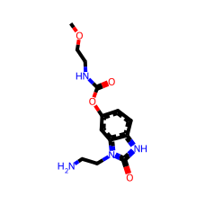 COCCNC(=O)Oc1ccc2[nH]c(=O)n(CCN)c2c1